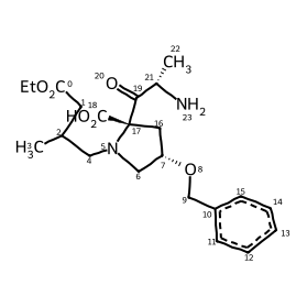 CCOC(=O)CC(C)CN1C[C@@H](OCc2ccccc2)C[C@@]1(C(=O)O)C(=O)[C@H](C)N